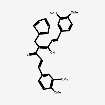 COc1ccc(C=CC(=O)C(Cc2ccccc2)=C(O)C=Cc2ccc(OC)c(OC)c2)cc1OC